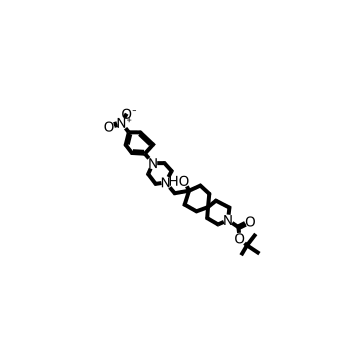 CC(C)(C)OC(=O)N1CCC2(CC1)CCC(O)(CN1CCN(c3ccc([N+](=O)[O-])cc3)CC1)CC2